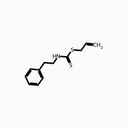 C=CCSC(=S)NCCc1ccccc1